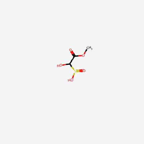 COC(=O)C(O)S(=O)O